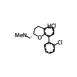 CNC[C@@H]1CCc2cccc(-c3ccccc3Cl)c2O1.Cl